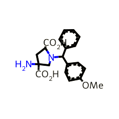 COc1ccc(C(c2ccccc2)N2CC(N)(C(=O)O)CC2C(=O)O)cc1